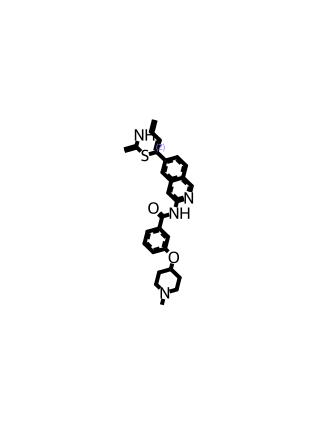 C=C/C=C(\SC(=C)N)c1ccc2cnc(NC(=O)c3cccc(OC4CCN(C)CC4)c3)cc2c1